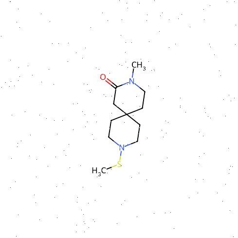 CSN1CCC2(CC1)CCN(C)C(=O)C2